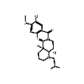 COc1cc2nc3n(c(=O)c2cc1Cl)CC[C@@H]1[C@@H]3CCCN1CC(C)C